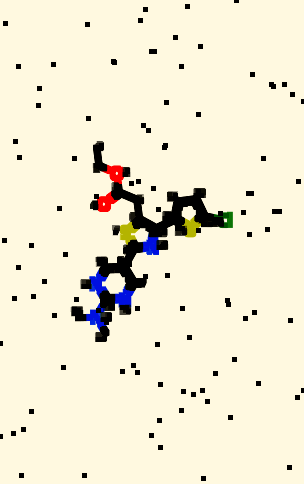 CCOC(=O)Cc1sc(-c2cnc(N(C)C)nc2)nc1-c1ccc(Cl)s1